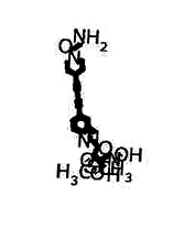 CC(CCn1cc2cc(C#CC#CC3CCN(C(=O)CN)CC3)ccc2n1)(C(=O)NO)S(C)(=O)=O